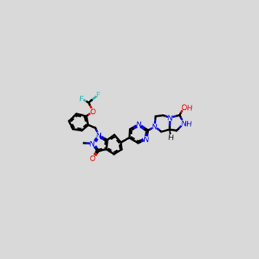 Cn1c(=O)c2ccc(-c3cnc(N4CCN5C(O)NC[C@@H]5C4)nc3)cc2n1Cc1ccccc1OC(F)F